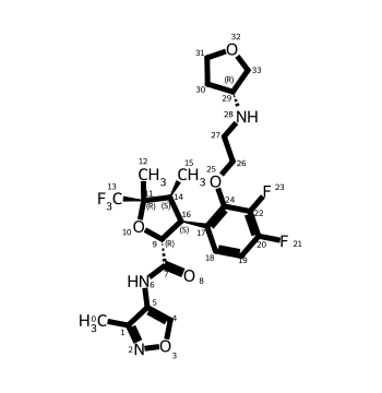 Cc1nocc1NC(=O)[C@@H]1O[C@@](C)(C(F)(F)F)[C@@H](C)[C@H]1c1ccc(F)c(F)c1OCCN[C@@H]1CCOC1